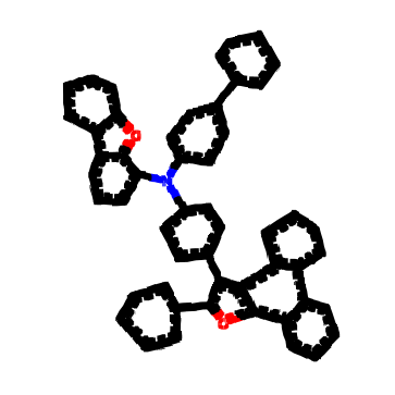 c1ccc(-c2ccc(N(c3ccc(-c4c(-c5ccccc5)oc5c6ccccc6c6ccccc6c45)cc3)c3cccc4c3oc3ccccc34)cc2)cc1